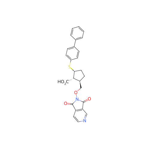 O=C(O)[C@H]1[C@H](CON2C(=O)c3ccncc3C2=O)CC[C@@H]1Sc1ccc(-c2ccccc2)cc1